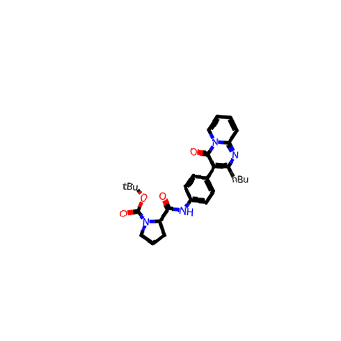 CCCCc1nc2ccccn2c(=O)c1-c1ccc(NC(=O)C2CCCN2C(=O)OC(C)(C)C)cc1